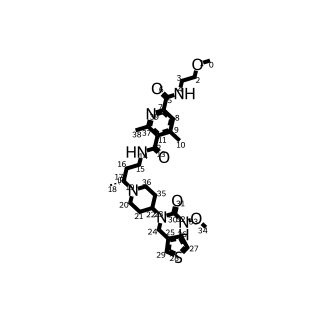 COCCNC(=O)c1cc(C)c(C(=O)NCC[C@@H](C)N2CCC(N(Cc3ccsc3)C(=O)NOC)CC2)c(C)n1